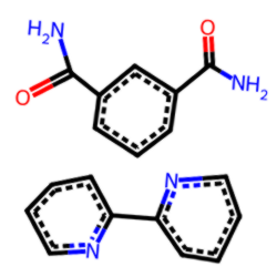 NC(=O)c1cccc(C(N)=O)c1.c1ccc(-c2ccccn2)nc1